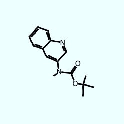 CN(C(=O)OC(C)(C)C)c1cnc2ccccc2c1